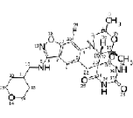 C[C@@H]1CN2c3c(cc4c(NCC5CCOCC5)noc4c3F)CC3(C(=O)NC(=O)NC3=O)[C@H]2[C@H](C)O1